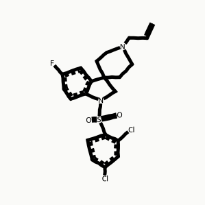 C=CCN1CCC2(CC1)CN(S(=O)(=O)c1ccc(Cl)cc1Cl)c1ccc(F)cc12